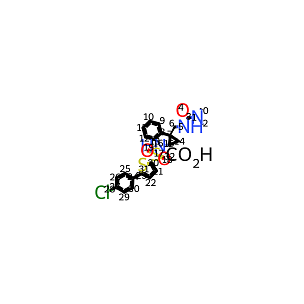 CN(C)C(=O)NC[C@@]1(c2ccccc2)C[C@]1(NS(=O)(=O)c1ccc(-c2ccc(Cl)cc2)s1)C(=O)O